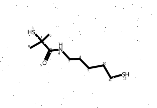 CC(C)(S)C(=O)NCCCCCS